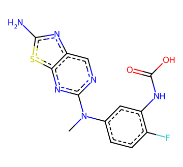 CN(c1ccc(F)c(NC(=O)O)c1)c1ncc2nc(N)sc2n1